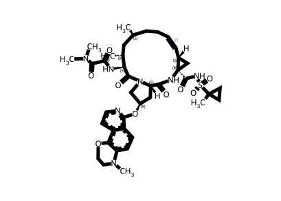 C[C@H]1CC/C=C\[C@@H]2C[C@@]2(C(=O)NS(=O)(=O)C2(C)CC2)NC(=O)[C@@H]2C[C@@H](Oc3nccc4c5c(ccc34)N(C)CCO5)CN2C(=O)[C@@H](NC(=O)C(=O)N(C)C)[C@H](C)C1